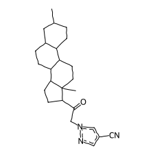 CC1CCC2C(CCC3C2CCC2(C)C(C(=O)Cn4cc(C#N)cn4)CCC32)C1